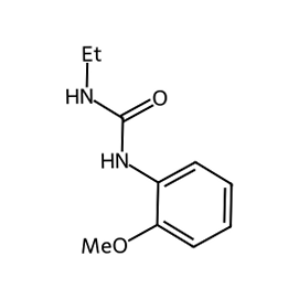 CCNC(=O)Nc1ccccc1OC